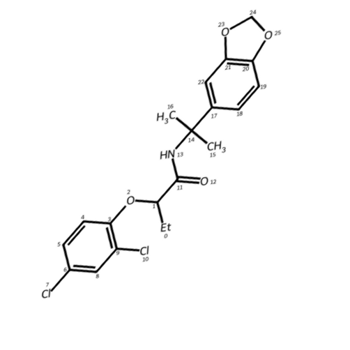 CCC(Oc1ccc(Cl)cc1Cl)C(=O)NC(C)(C)c1ccc2c(c1)OCO2